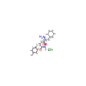 CNC(=O)[C@H](Cc1ccc(C)cc1)C[C@H](O)[C@@H](N)CC1CCCCC1.Cl